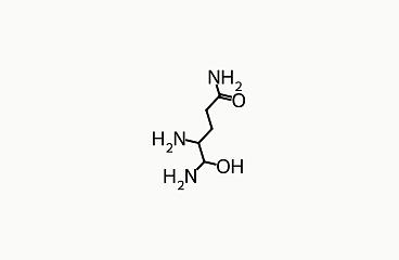 NC(=O)CCC(N)C(N)O